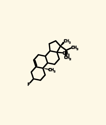 C=C(C)[C@@]1(C)CCC2C3CC=C4CC(F)CC[C@]4(C)C3CCC21C